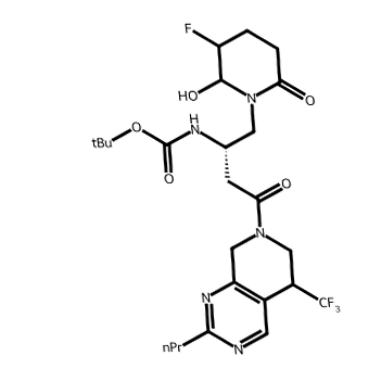 CCCc1ncc2c(n1)CN(C(=O)C[C@@H](CN1C(=O)CCC(F)C1O)NC(=O)OC(C)(C)C)CC2C(F)(F)F